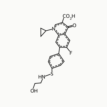 O=C(O)c1cn(C2CC2)c2cc(-c3ccc(SNCCO)cc3)c(F)cc2c1=O